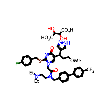 CCN(CC)CCN(Cc1ccc(-c2ccc(C(F)(F)F)cc2)cc1)C(=O)Cn1cc(C(CCOC)c2cn[nH]c2)c(=O)nc1SCc1ccc(F)cc1.O=C(O)C(O)C(O)C(=O)O